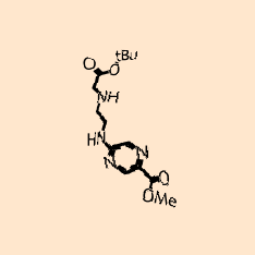 COC(=O)c1cnc(NCCNCC(=O)OC(C)(C)C)cn1